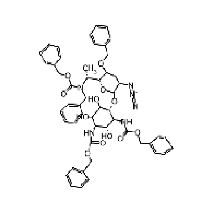 C[C@H]([C@H]1OC(O[C@H]2[C@H](O)[C@@H](O)[C@H](NC(=O)OCc3ccccc3)[C@@H](O)[C@@H]2NC(=O)OCc2ccccc2)[C@H](N=[N+]=[N-])C[C@@H]1OCc1ccccc1)N(Cc1ccccc1)C(=O)OCc1ccccc1